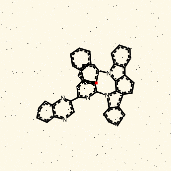 c1ccc(-c2cc(-c3cnc4ccccc4n3)nc(-n3c4ccccc4c4ccc5c6ccccc6n(-c6ccccc6)c5c43)c2)cc1